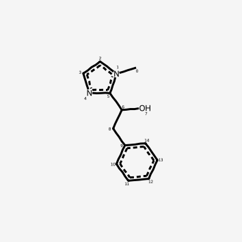 Cn1ccnc1C(O)Cc1ccccc1